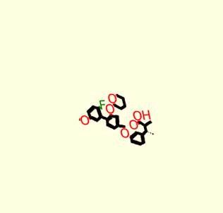 COc1ccc(F)c(-c2ccc(COc3cccc([C@@H](C)C(C)C(=O)O)c3)cc2OC2CCCCO2)c1